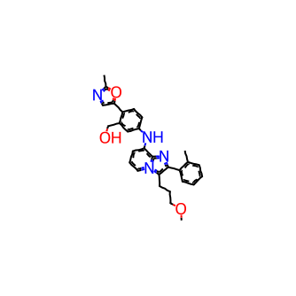 COCCCc1c(-c2ccccc2C)nc2c(Nc3ccc(-c4cnc(C)o4)c(CO)c3)cccn12